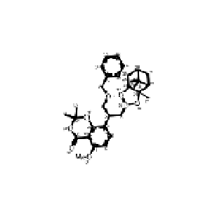 COc1ccc(C(COCc2ccccc2)CB2OC3CC4CC(C4(C)C)[C@]3(C)O2)c2c1C(=O)OC(C)(C)O2